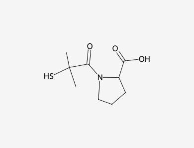 CC(C)(S)C(=O)N1CCCC1C(=O)O